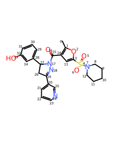 Cc1oc(S(=O)(=O)N2CCCCC2)cc1C(=O)N1N=C(c2cccnc2)CC1c1cccc(O)c1